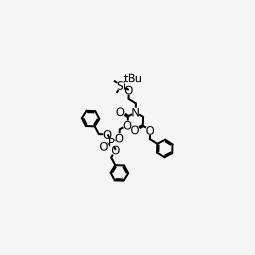 CC(C)(C)[Si](C)(C)OCCN(CC(=O)OCc1ccccc1)C(=O)OCOP(=O)(OCc1ccccc1)OCc1ccccc1